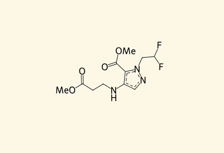 COC(=O)CCNc1cnn(CC(F)F)c1C(=O)OC